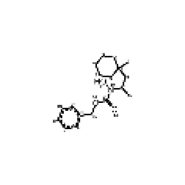 CC(CC1(C)CCCCC1)N(O)C(=O)OCc1ccccc1